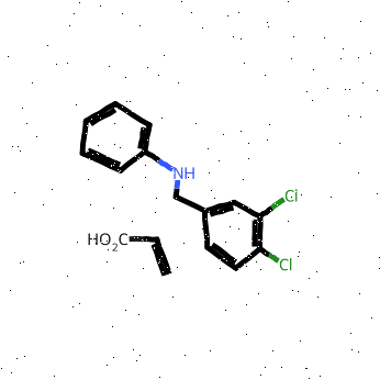 C=CC(=O)O.Clc1ccc(CNc2ccccc2)cc1Cl